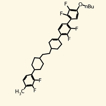 CCCCOc1ccc(-c2ccc(C3=CCC(CCC4CCC(c5ccc(C)c(F)c5F)CC4)CC3)c(F)c2F)c(F)c1F